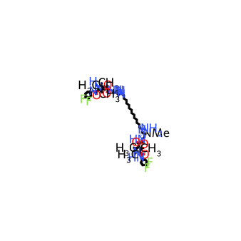 CN/C(=C\N(N)CCCCCCCCCCCCCCn1cc(CNC(=O)C(=O)c2c(C)c(C(=O)Nc3ccc(F)c(F)c3)n(C)c2C)nn1)CNC(=O)C(=O)c1c(C)c(C(=O)Nc2ccc(F)c(F)c2)n(C)c1C